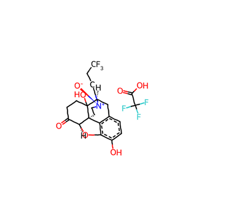 O=C(O)C(F)(F)F.O=C1CCC2(O)[C@H]3Cc4ccc(O)c5c4[C@@]2(CC[N@+]3([O-])CCC(F)(F)F)[C@H]1O5